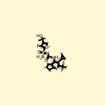 CC(C)(O)c1csc(S(N)(=O)=NC(=O)Nc2c3c(nc(C(F)(F)F)c2C2CC2)CCC3)c1F